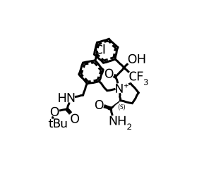 CC(C)(C)OC(=O)NCc1ccc(Cl)cc1C[N+]1(C(=O)C(O)(c2ccccc2)C(F)(F)F)CCC[C@H]1C(N)=O